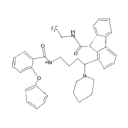 O=C(NCCCC(c1cccc2c1C(C(=O)NCC(F)(F)F)c1ccccc1-2)N1CCCCC1)c1ccccc1Oc1ccccc1